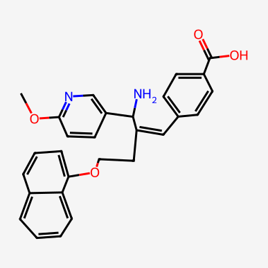 COc1ccc(C(N)/C(=C\c2ccc(C(=O)O)cc2)CCOc2cccc3ccccc23)cn1